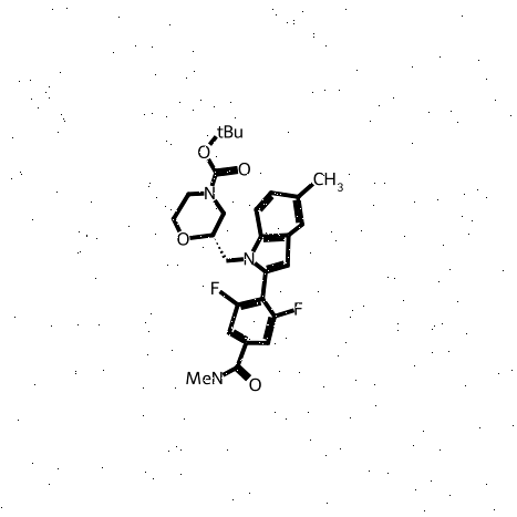 CNC(=O)c1cc(F)c(-c2cc3cc(C)ccc3n2C[C@H]2CN(C(=O)OC(C)(C)C)CCO2)c(F)c1